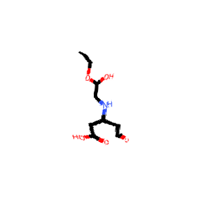 CCOC(O)CNC(CC=O)CC(=O)O